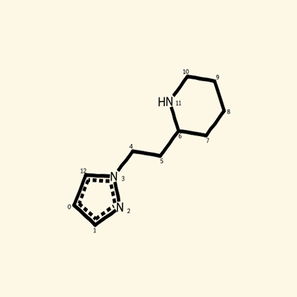 c1cnn(CCC2CCCCN2)c1